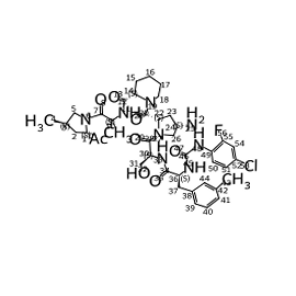 CC(=O)[C@@H]1C[C@@H](C)CN1C(=O)[C@H](C)NC(=O)[C@@H]1CCCCN1C(=O)[C@@H]1C[C@H](N)CN1C(=O)[C@H](CO)NC(=O)[C@H](Cc1cccc(C)c1)NC(=O)Nc1ccc(Cl)cc1F